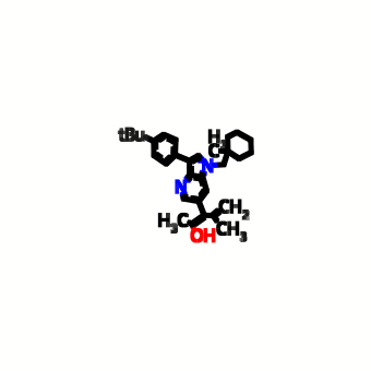 C=C(C)/C(=C(/C)O)c1cnc2c(-c3ccc(C(C)(C)C)cc3)cn(CC3(C)CCCCC3)c2c1